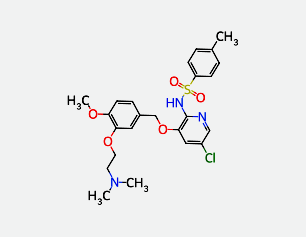 COc1ccc(COc2cc(Cl)cnc2NS(=O)(=O)c2ccc(C)cc2)cc1OCCN(C)C